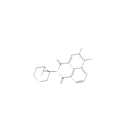 I.Nc1c(I)cc2c3c(cccc13)C(=O)N(C1CN3CCC1CC3)C2=O